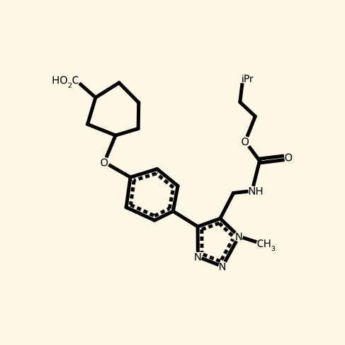 CC(C)CCOC(=O)NCc1c(-c2ccc(OC3CCCC(C(=O)O)C3)cc2)nnn1C